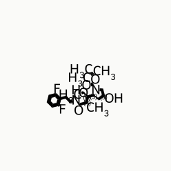 CO[C@H]([C@@H](C)C(=O)NCCc1c(F)cccc1F)[C@@H]1C[C@H](O)CN1C(=O)OC(C)(C)C